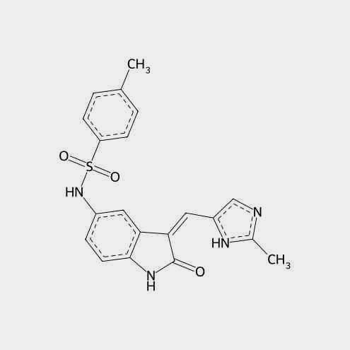 Cc1ccc(S(=O)(=O)Nc2ccc3c(c2)C(=Cc2cnc(C)[nH]2)C(=O)N3)cc1